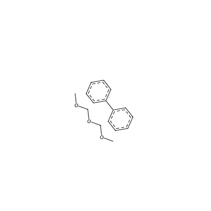 COCOCOC.c1ccc(-c2ccccc2)cc1